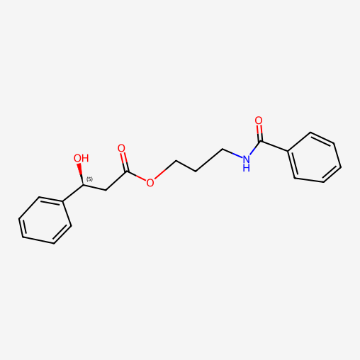 O=C(C[C@H](O)c1ccccc1)OCCCNC(=O)c1ccccc1